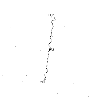 CCCCCCCCCCCCCCCCCC=N.Cl